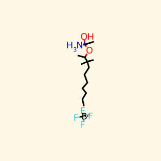 CCCCCCCC(C)(C)C(C)OC(C)([NH3+])O.F[B-](F)(F)F